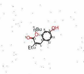 CCCCOC(=O)C(=Cc1ccc(O)cc1)CC